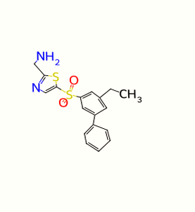 CCc1cc(-c2ccccc2)cc(S(=O)(=O)c2cnc(CN)s2)c1